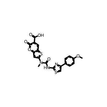 COc1ccc(-c2csc(NC(=O)N(C)c3cc4oc(=O)c(C(=O)O)cc4s3)n2)cc1